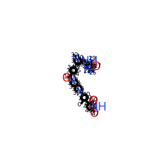 Cc1cc(N2CCC3(CCN(C(=O)c4ccc([C@H]5C[C@@H](Nc6cnn(C)c(=O)c6C)CN(C)C5)cc4)CC3)CC2)ccc1C1CCC(=O)NC1=O